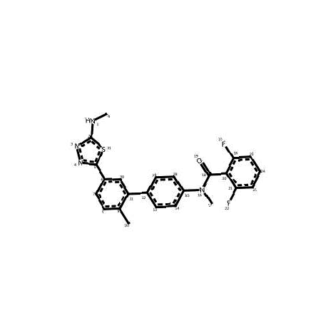 CNc1nnc(-c2ccc(C)c(-c3ccc(N(C)C(=O)c4c(F)cccc4F)cc3)c2)s1